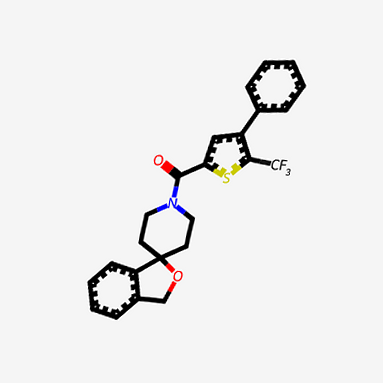 O=C(c1cc(-c2ccccc2)c(C(F)(F)F)s1)N1CCC2(CC1)OCc1ccccc12